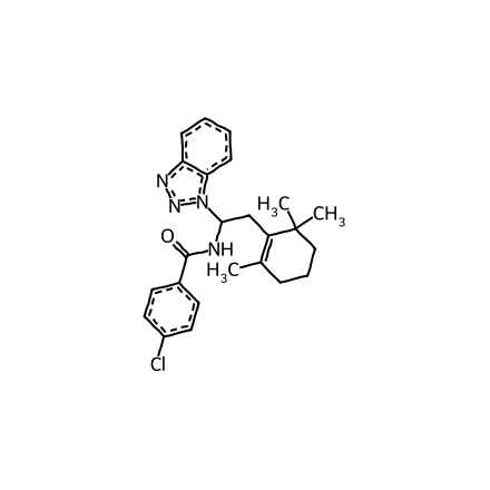 CC1=C(CC(NC(=O)c2ccc(Cl)cc2)n2nnc3ccccc32)C(C)(C)CCC1